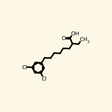 CCC(CCCCCCc1cc(Cl)cc(Cl)c1)C(=O)O